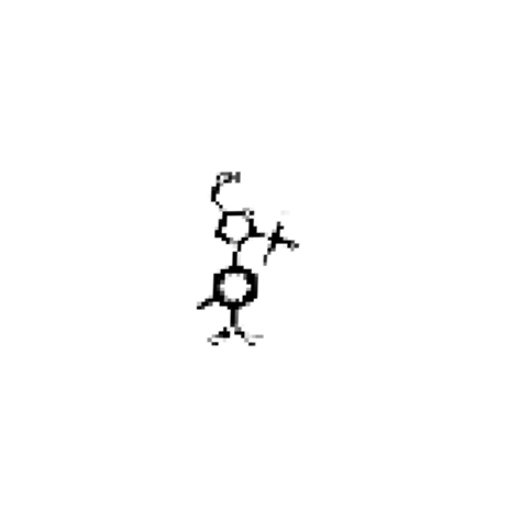 Cc1cc(N2C[C@@H](CO)O[C@H]2C(F)(F)F)ccc1[N+](=O)[O-]